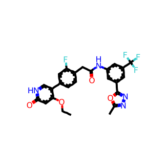 CCOc1cc(=O)[nH]cc1-c1ccc(CC(=O)Nc2cc(-c3nnc(C)o3)cc(C(F)(F)F)c2)c(F)c1